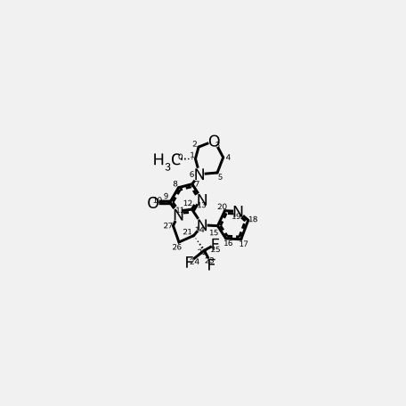 C[C@@H]1COCCN1c1cc(=O)n2c(n1)N(c1cccnc1)[C@H](C(F)(F)F)CC2